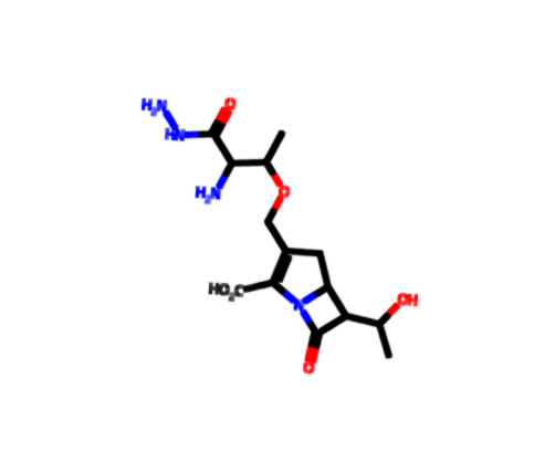 CC(O)C1C(=O)N2C(C(=O)O)=C(COC(C)C(N)C(=O)NN)CC12